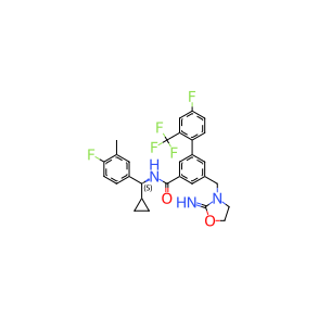 Cc1cc([C@@H](NC(=O)c2cc(CN3CCOC3=N)cc(-c3ccc(F)cc3C(F)(F)F)c2)C2CC2)ccc1F